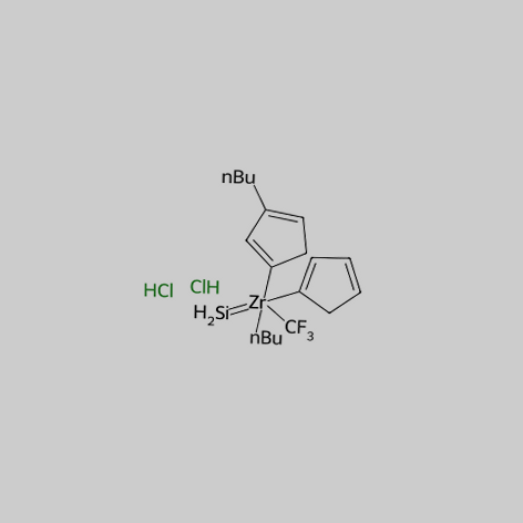 CCCCC1=CC[C]([Zr](=[SiH2])([CH2]CCC)([C]2=CC=CC2)[C](F)(F)F)=C1.Cl.Cl